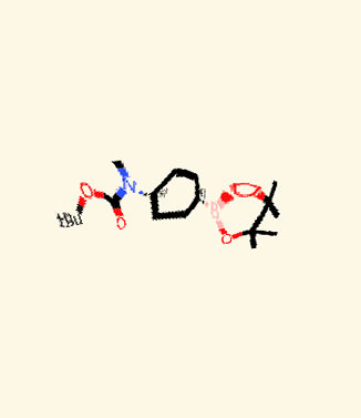 CN(C(=O)OC(C)(C)C)[C@@H]1C=C[C@H](B2OC(C)(C)C(C)(C)O2)CC1